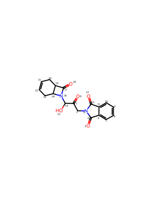 O=C(CN1C(=O)c2ccccc2C1=O)C(O)N1C(=O)C2CC=CCC21